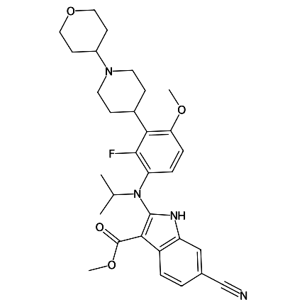 COC(=O)c1c(N(c2ccc(OC)c(C3CCN(C4CCOCC4)CC3)c2F)C(C)C)[nH]c2cc(C#N)ccc12